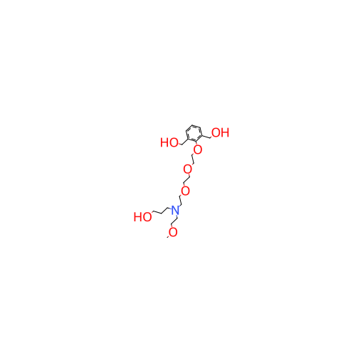 COCCN(CCCO)CCOCCOCCOc1c(CO)cccc1CO